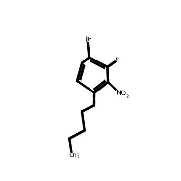 O=[N+]([O-])c1c(CCCCO)ccc(Br)c1F